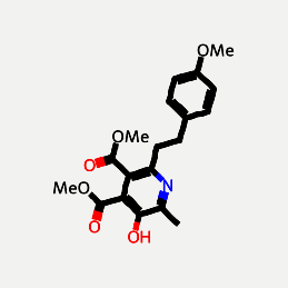 COC(=O)c1c(CCc2ccc(OC)cc2)nc(C)c(O)c1C(=O)OC